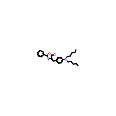 CCCCCN(CCCCC)c1ccc(/C=C2/N=C(c3ccccc3)OC2=O)cc1